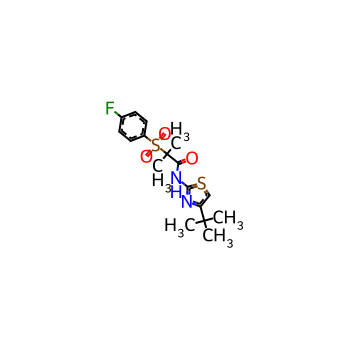 CC(C)(C)c1csc(NC(=O)C(C)(C)S(=O)(=O)c2ccc(F)cc2)n1